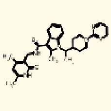 Cc1cc(C)c(CNC(=O)c2c(C)n(C(C)C3CCN(c4ncccn4)CC3)c3ccccc23)c(=O)[nH]1